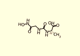 C[C@H](NC(=O)NCC(=O)NO)C(=O)O